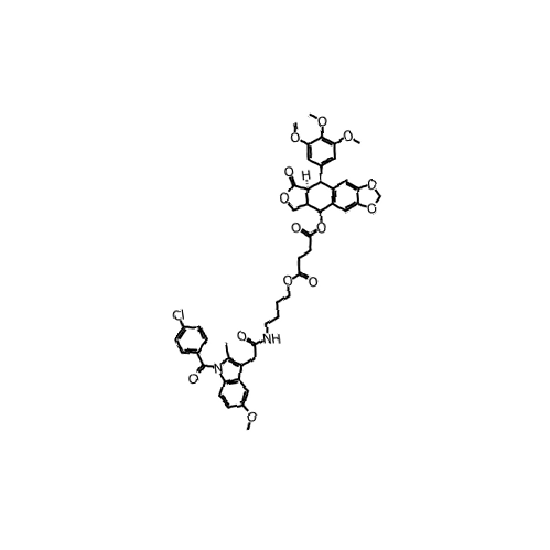 COc1ccc2c(c1)c(CC(=O)NCCCCOC(=O)CCC(=O)O[C@@H]1c3cc4c(cc3[C@H](c3cc(OC)c(OC)c(OC)c3)[C@@H]3C(=O)OCC13)OCO4)c(C)n2C(=O)c1ccc(Cl)cc1